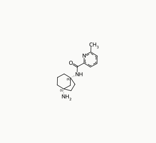 Cc1cccc(C(=O)N[C@]23CCC[C@](N)(CC2)C3)n1